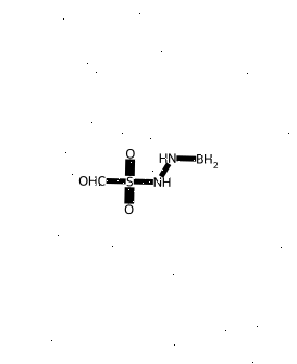 BNNS(=O)(=O)C=O